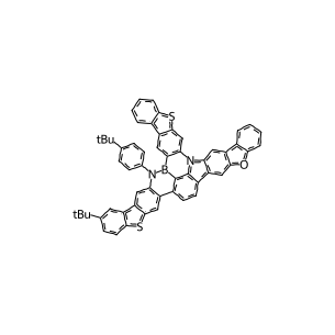 CC(C)(C)c1ccc(N2B3c4cc5c(cc4-n4c6cc7c(cc6c6ccc(c3c64)-c3cc4sc6ccc(C(C)(C)C)cc6c4cc32)oc2ccccc27)sc2ccccc25)cc1